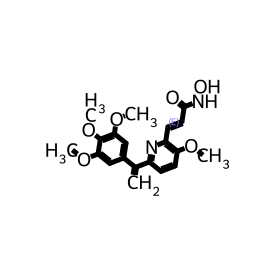 C=C(c1cc(OC)c(OC)c(OC)c1)c1ccc(OC)c(/C=C/C(=O)NO)n1